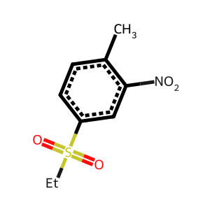 CCS(=O)(=O)c1ccc(C)c([N+](=O)[O-])c1